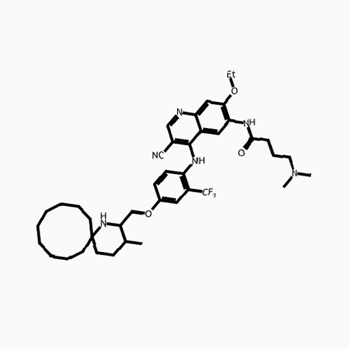 CCOc1cc2ncc(C#N)c(Nc3ccc(OCC4NC5(CCCCCCCCC5)CCC4C)cc3C(F)(F)F)c2cc1NC(=O)CCCN(C)C